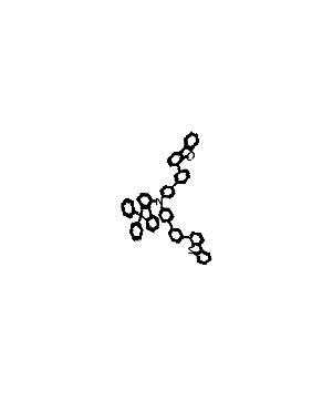 c1ccc(C2(c3ccccc3)c3ccccc3-c3c(N(c4ccc(-c5cccc(-c6cccc7c6oc6ccccc67)c5)cc4)c4ccc(-c5cccc(-c6cccc7c6sc6ccccc67)c5)cc4)cccc32)cc1